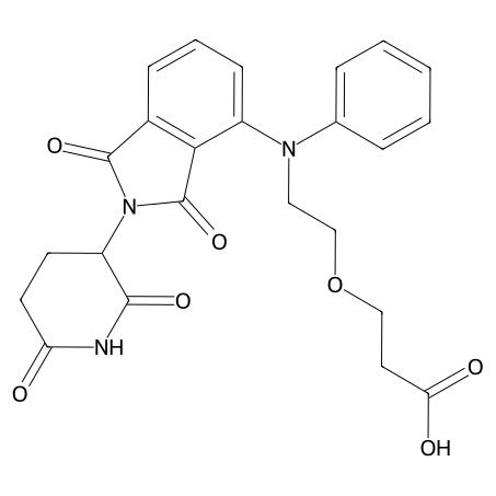 O=C(O)CCOCCN(c1ccccc1)c1cccc2c1C(=O)N(C1CCC(=O)NC1=O)C2=O